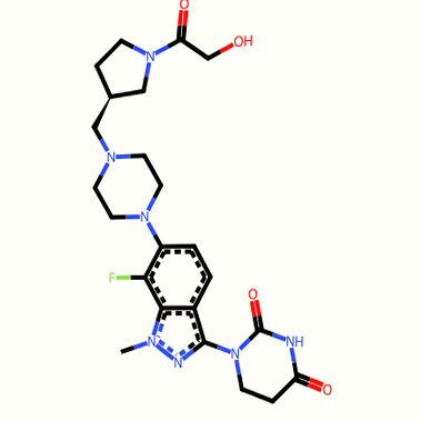 Cn1nc(N2CCC(=O)NC2=O)c2ccc(N3CCN(C[C@H]4CCN(C(=O)CO)C4)CC3)c(F)c21